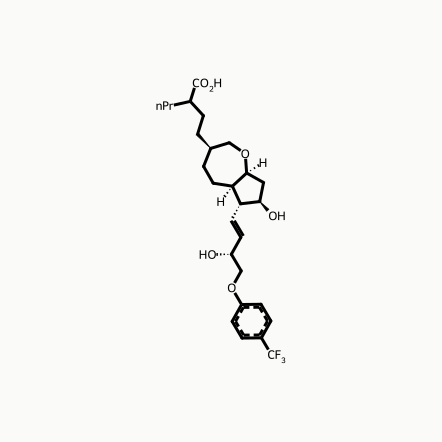 CCCC(CC[C@@H]1CC[C@@H]2[C@@H](C=C[C@@H](O)COc3ccc(C(F)(F)F)cc3)[C@H](O)C[C@@H]2OC1)C(=O)O